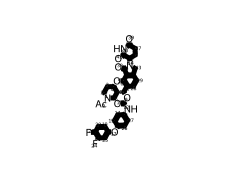 CC(=O)N1CCC(Oc2c(COC(=O)Nc3ccc(Oc4ccc(F)c(F)c4)cc3)ccc3c2C(=O)N(C2CCC(=O)NC2=O)C3)CC1